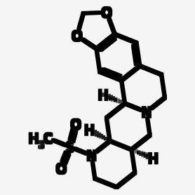 CS(=O)(=O)N1CCC[C@@H]2CN3CCc4cc5c(cc4[C@@H]3C[C@@H]21)OCO5